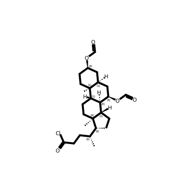 C[C@H](CCC(=O)Cl)[C@H]1CC[C@H]2[C@@H]3[C@H](OC=O)C[C@@H]4C[C@H](OC=O)CC[C@]4(C)[C@H]3CC[C@]12C